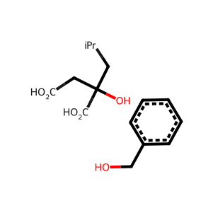 CC(C)CC(O)(CC(=O)O)C(=O)O.OCc1ccccc1